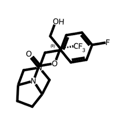 O=C(O[C@H](CO)C(F)(F)F)N1C2CCC1CN(Cc1ccc(F)cc1)C2